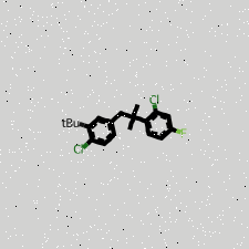 CC(C)(C)c1cc(CC(C)(C)c2ccc(F)cc2Cl)ccc1Cl